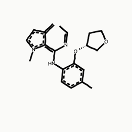 C=c1ccn(C)/c1=C(/N=C\C)Nc1ccc(C)cc1O[C@@H]1CCOC1